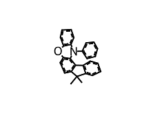 CC1(C)c2ccccc2-c2c1ccc1c2N(c2ccccc2)c2ccccc2O1